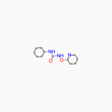 O=C(NOc1ccccn1)Nc1ccccc1